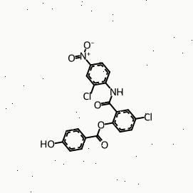 O=C(Oc1ccc(Cl)cc1C(=O)Nc1ccc([N+](=O)[O-])cc1Cl)c1ccc(O)cc1